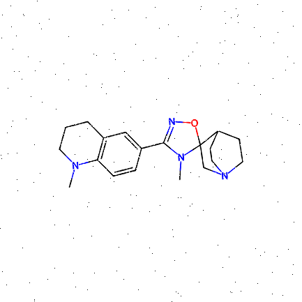 CN1CCCc2cc(C3=NOC4(CN5CCC4CC5)N3C)ccc21